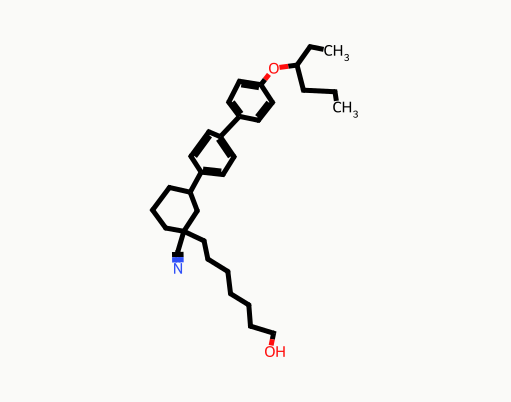 CCCC(CC)Oc1ccc(-c2ccc(C3CCCC(C#N)(CCCCCCCO)C3)cc2)cc1